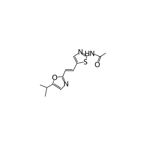 CC(=O)Nc1ncc(C=Cc2ncc(C(C)C)o2)s1